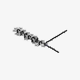 CCCCCCCCCCCCC/C=C/[C@@H](O)[C@H](CO[C@@H]1OC(CO)[C@@H](O[C@@H]2OC(CO)[C@H](O[C@@H]3OC(CO)[C@H](O)[C@H](O[C@H]4OC(CO)[C@H](O)[C@H](O[C@H]5OC(CO)[C@H](O)[C@H](O[C@H]6OC(CO)[C@H](O)[C@H](O[C@H]7OC(CO)[C@H](O)[C@H](O)C7O)C6O)C5O)C4O)C3O)[C@H](O)C2O)[C@H](O)C1O)NC(=O)CCCCCCCCCCCCCCCCCCCCCCC